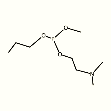 CCCOP(OC)OCCN(C)C